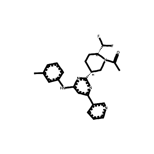 CC(=O)N1C[C@H](c2nc(Nc3cccc(C)c3)cc(-c3cccnc3)n2)CC[C@@H]1C(F)F